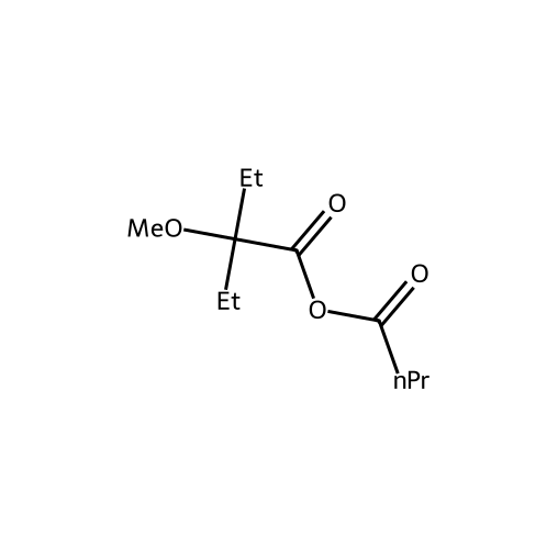 CCCC(=O)OC(=O)C(CC)(CC)OC